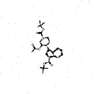 CC(=O)OC1CN(C(=O)OC(C)(C)C)CC[C@H]1c1cn(C(=O)OC(C)(C)C)c2ncccc12